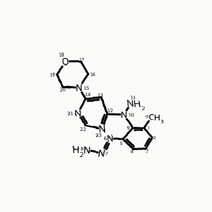 Cc1cccc(N=NN)c1N(N)c1cc(N2CCOCC2)ncn1